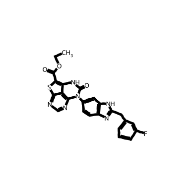 CCOC(=O)c1sc2ncnc3c2c1NC(=O)N3c1ccc2nc(Cc3cccc(F)c3)[nH]c2c1